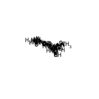 CNC(=O)CC1CN1C(=O)[C@H](CC=O)NC(=O)[C@H](CC(=O)O)NC(=O)C[C@H](NC(=O)c1ccc(NCc2cnc3nc(N)[nH]c(=O)c3n2)cc1)C(=O)O